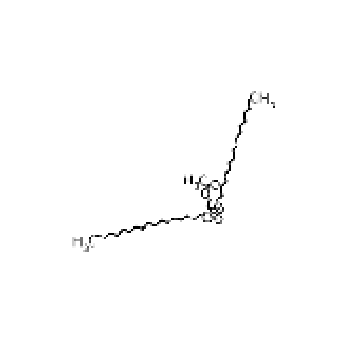 CCCCCCCCCCCCCCCCCCOP(=O)(CCOC(C)=O)OCCCCCCCCCCCCCCCCCC